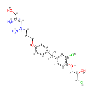 CC(C)(c1ccc(OCCCN(N)/C=C(\N)CO)cc1)c1ccc(OCC(O)CCl)c(Cl)c1